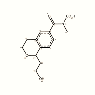 CN(C(=O)O)C(=O)c1ccc2c(c1)CCOC2CCO